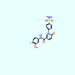 CNS(=O)(=O)c1ccc(-n2cc(C(=O)Nc3ccc(F)c(OC)c3)ccc2=O)cc1